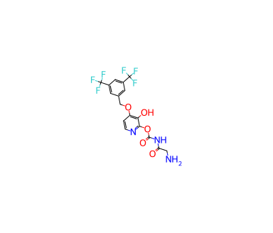 NCC(=O)NC(=O)Oc1nccc(OCc2cc(C(F)(F)F)cc(C(F)(F)F)c2)c1O